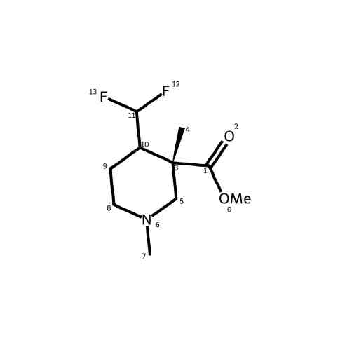 COC(=O)[C@]1(C)CN(C)CCC1C(F)F